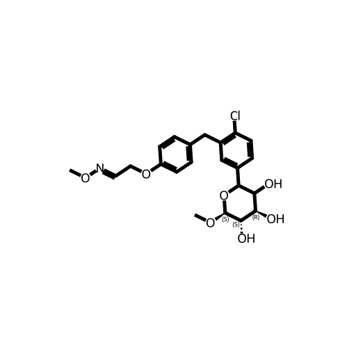 CON=CCOc1ccc(Cc2cc(C3O[C@H](OC)[C@@H](O)[C@H](O)C3O)ccc2Cl)cc1